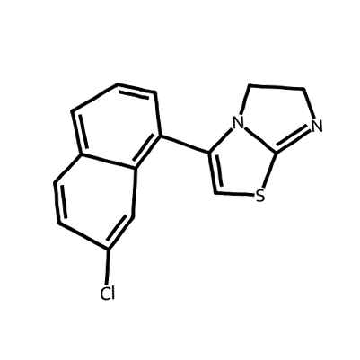 Clc1ccc2cccc(C3=CSC4=NCCN34)c2c1